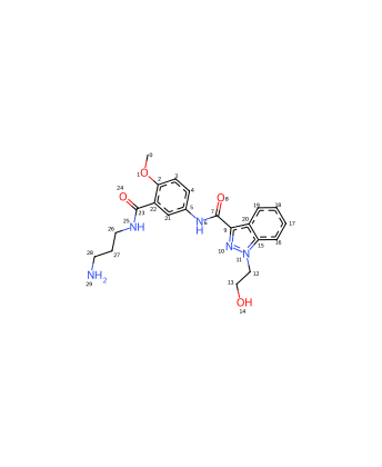 COc1ccc(NC(=O)c2nn(CCO)c3ccccc23)cc1C(=O)NCCCN